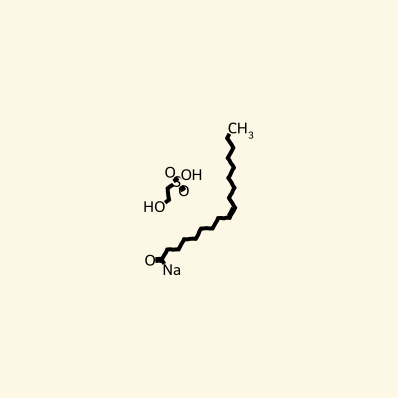 CCCCCCCC/C=C\CCCCCCC[C](=O)[Na].O=S(=O)(O)CCO